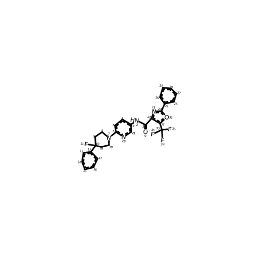 O=C(Nc1ccc(N2CCC(F)(c3ccccc3)CC2)nc1)c1nc(-c2ccccc2)oc1C(F)(F)F